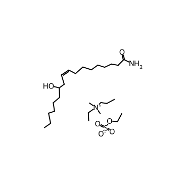 CCCCCCC(O)C/C=C\CCCCCCCC(N)=O.CCC[N+](C)(C)CC.CCOS(=O)(=O)[O-]